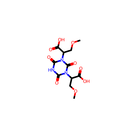 COCC(C(=O)O)n1c(=O)[nH]c(=O)n(C(COC)C(=O)O)c1=O